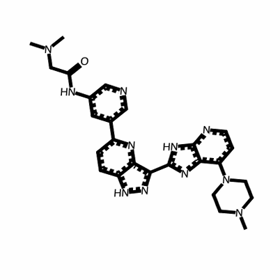 CN(C)CC(=O)Nc1cncc(-c2ccc3[nH]nc(-c4nc5c(N6CCN(C)CC6)ccnc5[nH]4)c3n2)c1